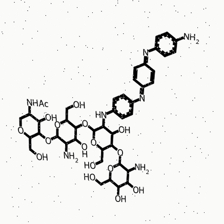 CC(=O)NC1COC(CO)C(OC2OC(CO)C(OC3OC(CO)C(OC4OC(CO)C(O)C(O)C4N)C(O)C3Nc3ccc(N=C4C=CC(=Nc5ccc(N)cc5)C=C4)cc3)C(O)C2N)C1O